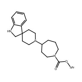 CCCOC(=O)N1CCCC(N2CCC3(CC2)CNc2ccccc23)CC1